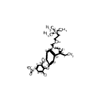 CCc1nn(COCC[Si](C)(C)C)c2ccc(Oc3c(Cl)cc([N+](=O)[O-])cc3Cl)cc12